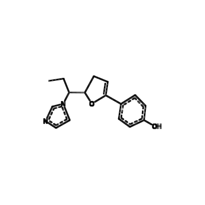 CCC(C1CC=C(c2ccc(O)cc2)O1)n1ccnc1